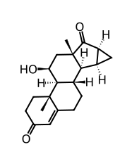 C[C@]12CCC(=O)C=C1CC[C@@H]1[C@@H]2[C@@H](O)C[C@]2(C)C(=O)[C@H]3C[C@H]3[C@@H]12